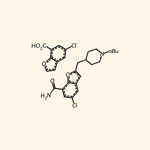 CCCCN1CCC(Cc2cc3cc(Cl)cc(C(N)=O)c3o2)CC1.O=C(O)c1cc(Cl)cc2ccoc12